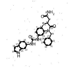 NC(=O)CC1Sc2ccc(NC(=O)Nc3ccc4cc[nH]c4c3)cc2N(Cc2ccccc2)C1=O